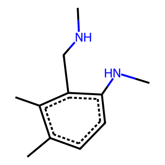 CNCc1c(NC)ccc(C)c1C